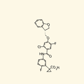 O=C(Nc1ccc(F)c(C2(C(=O)O)CC2)c1)c1cc(F)c(OC[C@H]2COc3ccccc32)cc1Cl